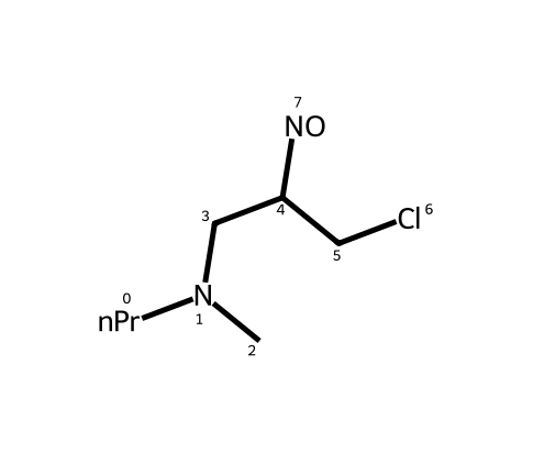 CCCN(C)CC(CCl)N=O